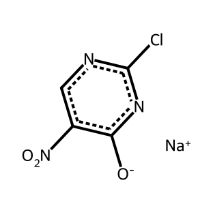 O=[N+]([O-])c1cnc(Cl)nc1[O-].[Na+]